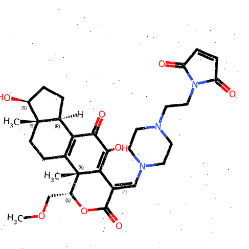 COC[C@H]1OC(=O)/C(=C/N2CCN(CCN3C(=O)C=CC3=O)CC2)C2=C(O)C(=O)C3=C([C]C[C@]4(C)[C@@H](O)CC[C@@H]34)[C@]21C